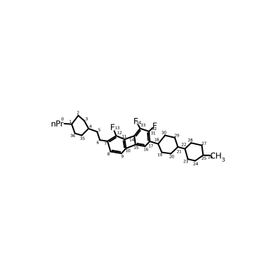 CCCC1CCC(CCc2ccc3c(c2F)-c2c-3cc(C3CCC(C4CCC(C)CC4)CC3)c(F)c2F)CC1